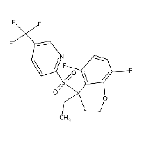 CCC1(S(=O)(=O)c2ccc(C(F)(F)F)cn2)CCOc2c(F)ccc(F)c21